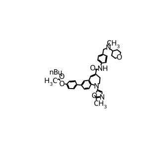 CCCCOC(C)Oc1ccc(-c2ccc3c(c2)C=C(C(=O)Nc2ccc(CN(C)C4CCOCC4)cc2)CCN3c2cnc(C)o2)cc1